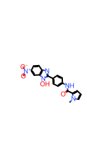 Cn1cccc1C(=O)Nc1ccc(-c2nc3ccc([N+](=O)[O-])cc3n2O)cc1